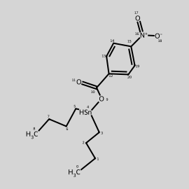 CCC[CH2][SnH]([CH2]CCC)[O]C(=O)c1ccc([N+](=O)[O-])cc1